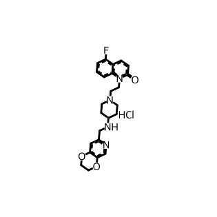 Cl.O=c1ccc2c(F)cccc2n1CCN1CCC(NCc2cc3c(cn2)OCCO3)CC1